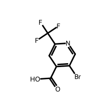 O=C(O)c1cc(C(F)(F)F)ncc1Br